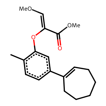 CO/C=C(\Oc1cc(C2=CCCCCC2)ccc1C)C(=O)OC